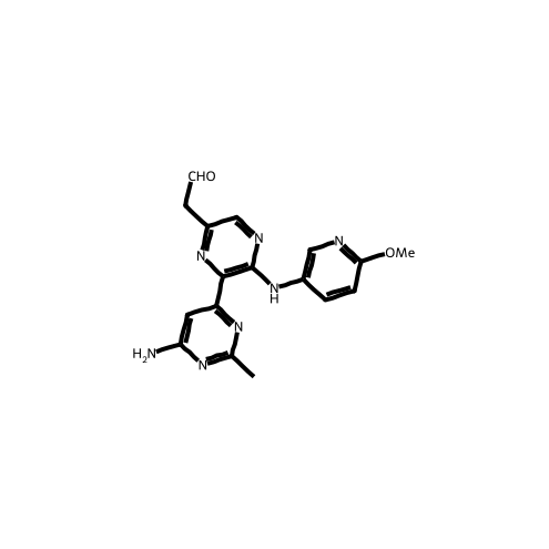 COc1ccc(Nc2ncc(CC=O)nc2-c2cc(N)nc(C)n2)cn1